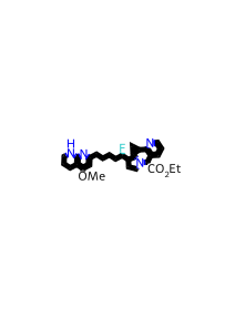 CCOC(=O)C(c1cccnc1C1CC1)N1CCC(C(F)CCCCc2cc(OC)c3c(n2)NCCC3)C1